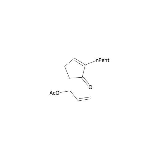 C=CCOC(C)=O.CCCCCC1=CCCC1=O